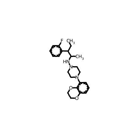 CCC(c1ccccc1F)C(C)NN1CCN(c2cccc3c2OCCO3)CC1